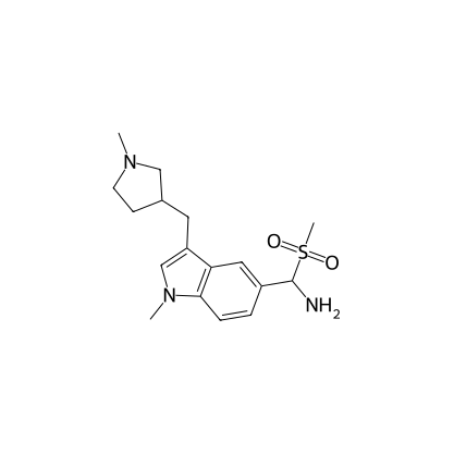 CN1CCC(Cc2cn(C)c3ccc(C(N)S(C)(=O)=O)cc23)C1